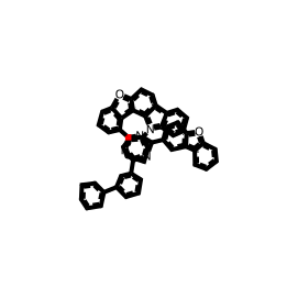 c1ccc(-c2cccc(-c3nc(-c4ccc5oc6ccccc6c5c4)nc(-c4cccc5oc6ccc7c8ccccc8n(-c8ccccc8)c7c6c45)n3)c2)cc1